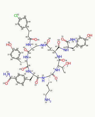 CC(O)C1NC(=O)[C@H](CCCCN)NC(=O)[C@@H](Cc2ccc(C(N)=O)cc2)NC(=O)[C@H](Cc2ccc(O)cc2)NC(=O)[C@H](NC(=O)CCc2ccc(Cl)cc2)CNC(=O)C[C@@H](C(=O)N[C@H](Cc2ccc(O)cc2)C(N)=O)NC1=O